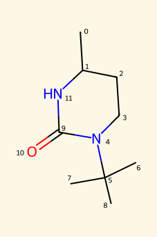 CC1CCN(C(C)(C)C)C(=O)N1